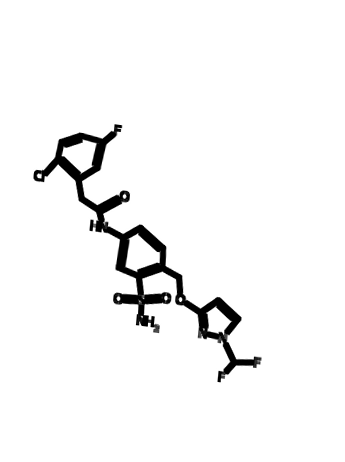 NS(=O)(=O)c1cc(NC(=O)Cc2cc(F)ccc2Cl)ccc1COc1ccn(C(F)F)n1